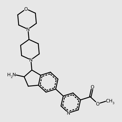 COC(=O)c1cncc(-c2ccc3c(c2)CC(N)C3N2CCC(N3CCOCC3)CC2)c1